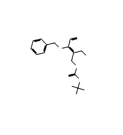 C=C/C(OCc1ccccc1)=C(\CC)CNC(=O)OC(C)(C)C